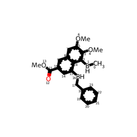 CBc1c(OC)c(OC)cc2cc(C(=O)OC)cc(BCc3ccccc3)c12